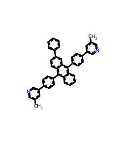 Cc1cncc(-c2ccc(-c3c4ccccc4c(-c4ccc(-c5cncc(C)c5)cc4)c4cc(-c5ccccc5)ccc34)cc2)c1